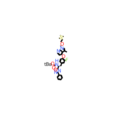 Cc1cn(COCCS(C)(C)C)c2nccc(Oc3ccc(C[C@H](NC(=O)OC(C)(C)C)c4nc(-c5ccccc5)no4)cc3F)c12